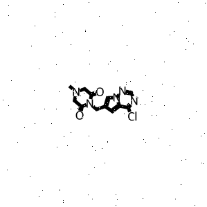 CN1CC(=O)N(Cc2cc3c(Cl)ncnn3c2)C(=O)C1